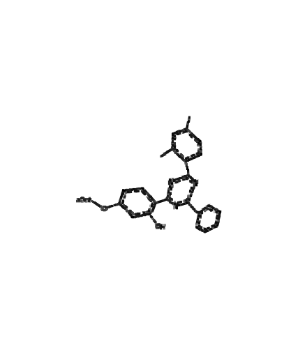 CCCCCCCCOc1ccc(-c2nc(-c3ccccc3)nc(-c3ccc(C)cc3C)n2)c(O)c1